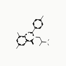 CCN(CC)C(C)Cn1c(-c2ccc(C)cc2)nc2c(Cl)cc(Cl)cc2c1=O